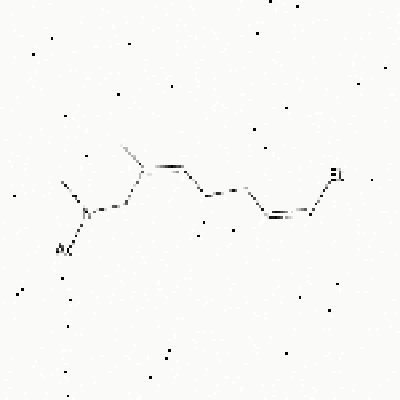 CC/C=C\CC/C=C(/C)CN(C)C(C)=O